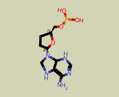 NC1=C2NCN([C@H]3CC[C@@H](COP(O)O)O3)C2NC=N1